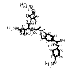 CC1(C)[C@H](NC(=O)/C(=N\O[C@](C)(C(=O)O)[C@H]2CCc3cc(C(=N)NCc4ccc(CN)cc4)ccc3O2)c2csc(N)n2)C(=O)N1OS(=O)(=O)O